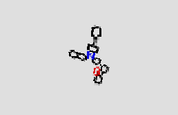 c1ccc(-c2ccc(N(c3ccc(-c4cccc5c4oc4ccccc45)cc3)c3ccc4ccccc4c3)cc2)cc1